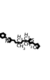 CC(C)(CCc1cnn(-c2ccccc2)c1)CCC(C)(C)c1csc(-c2ccco2)c1